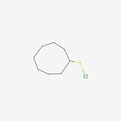 ClSC1CCCCCCC1